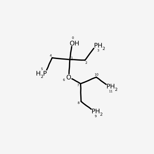 OC(CP)(CP)OC(CP)CP